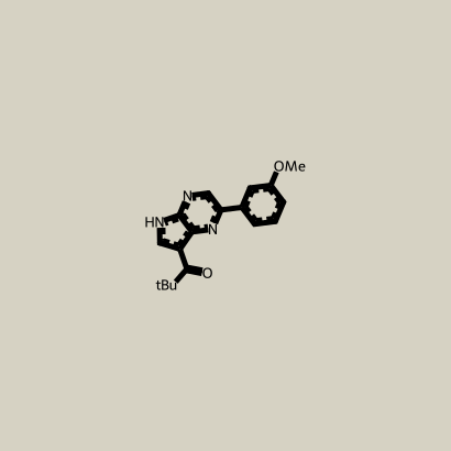 COc1cccc(-c2cnc3[nH]cc(C(=O)C(C)(C)C)c3n2)c1